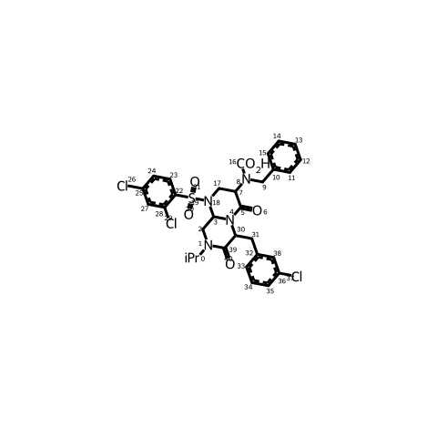 CC(C)N1CC2N(C(=O)C(N(Cc3ccccc3)C(=O)O)CN2S(=O)(=O)c2ccc(Cl)cc2Cl)C(Cc2cccc(Cl)c2)C1=O